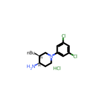 CCCC[C@H]1CN(c2cc(Cl)cc(Cl)c2)CC[C@H]1N.Cl